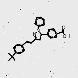 CC(C)(C)c1ccc(C=CC2=NN(c3ccccc3)C(c3ccc(C(=O)O)cc3)C2)cc1